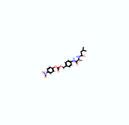 CC(C)CC(=O)N[C@@H](C)C(=O)Nc1ccc(COC(=O)Oc2ccc([N+](=O)[O-])cc2)cc1